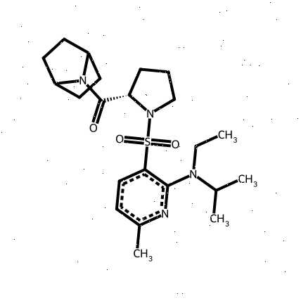 CCN(c1nc(C)ccc1S(=O)(=O)N1CCC[C@H]1C(=O)N1C2CCC1CC2)C(C)C